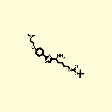 CN(C)CCOc1ccc(-c2nc([C@@H](N)CCCCNC(=O)OC(C)(C)C)cs2)cc1